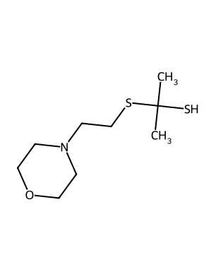 CC(C)(S)SCCN1CCOCC1